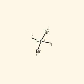 [CH3][Hf]([CH3])([Br])[Br]